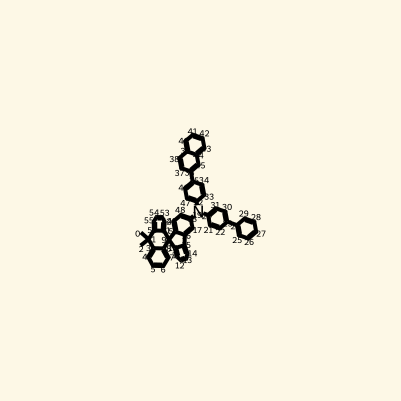 CC1(C)c2ccccc2C2(c3ccccc3-c3cc(N(c4ccc(-c5ccccc5)cc4)c4ccc(-c5ccc6ccccc6c5)cc4)ccc32)c2ccccc21